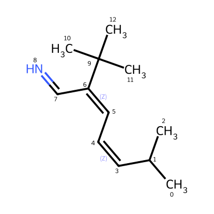 CC(C)/C=C\C=C(/C=N)C(C)(C)C